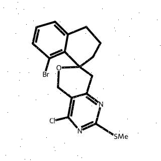 CSc1nc(Cl)c2c(n1)CC1(CCCc3cccc(Br)c31)OC2